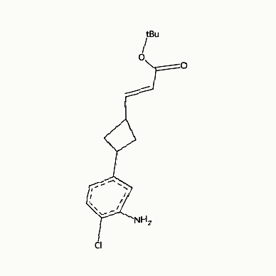 CC(C)(C)OC(=O)C=CC1CC(c2ccc(Cl)c(N)c2)C1